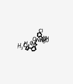 Cc1ccc(-c2cccc3cc(C(=O)Nc4ccc(Cl)cc4-c4noc(=O)[nH]4)n(C)c23)s1